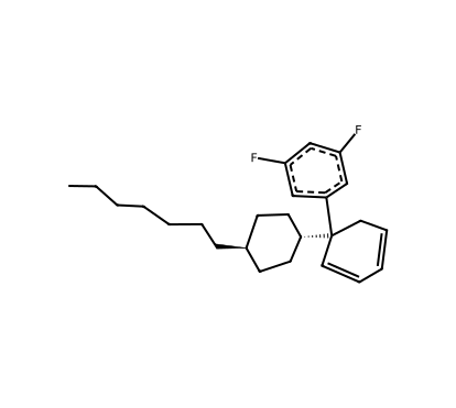 CCCCCCC[C@H]1CC[C@H](C2(c3cc(F)cc(F)c3)C=CC=CC2)CC1